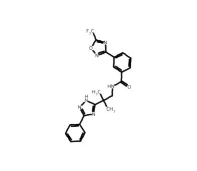 CC(C)(CNC(=O)c1cccc(-c2noc(C(F)(F)F)n2)c1)c1nc(-c2ccccc2)n[nH]1